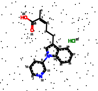 CC(=CCCc1cn(-c2cccnc2)c2ccccc12)C(=O)O.Cl